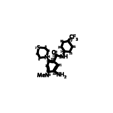 CNc1cc(N2CCSCC2)c(C(=O)NC2CCC(C(F)(F)F)CC2)cc1N